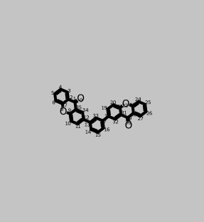 O=c1c2ccccc2oc2ccc(-c3cccc(-c4ccc5oc6ccccc6c(=O)c5c4)c3)cc12